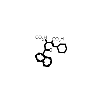 O=C(O)C(=CC1CCCCC1)C(CC(=O)c1cccc2ccccc12)C(=O)O